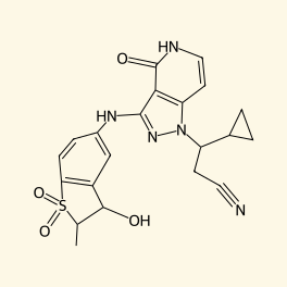 CC1C(O)c2cc(Nc3nn(C(CC#N)C4CC4)c4cc[nH]c(=O)c34)ccc2S1(=O)=O